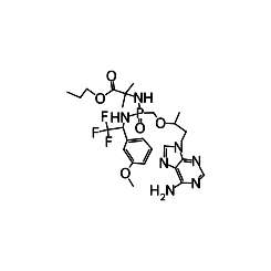 CCCOC(=O)C(C)(C)NP(=O)(COC(C)Cn1cnc2c(N)ncnc21)NC(c1cccc(OC)c1)C(F)(F)F